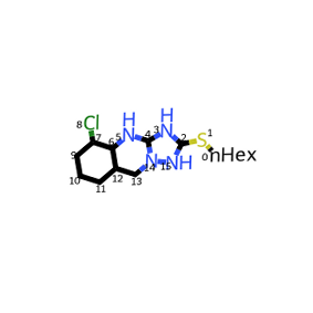 CCCCCCSC1NC2NC3C(Cl)CCCC3CN2N1